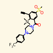 C#Cc1cc(S(C)(=O)=O)cc(C(=O)N2CCN(c3ccc(C(F)(F)F)cc3)CC2)c1[Si](C)(C)C